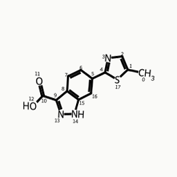 Cc1cnc(-c2ccc3c(C(=O)O)n[nH]c3c2)s1